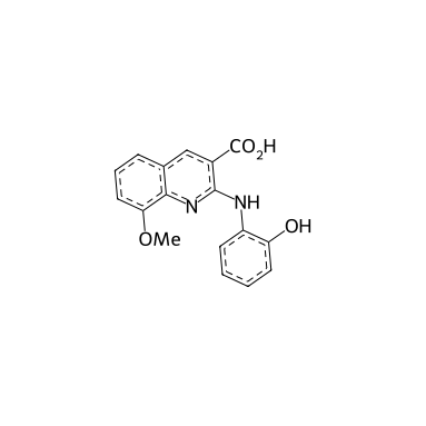 COc1cccc2cc(C(=O)O)c(Nc3ccccc3O)nc12